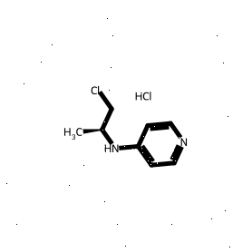 C[C@@H](CCl)Nc1ccncc1.Cl